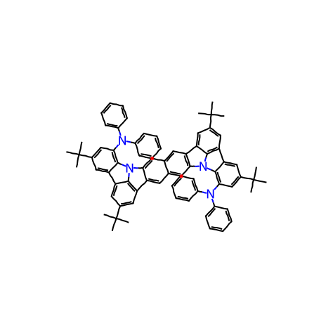 CC(C)(C)c1cc(N(c2ccccc2)c2ccccc2)c2c(c1)c1cc(C(C)(C)C)cc3c4cc5cc6c(cc5cc4n2c31)c1cc(C(C)(C)C)cc2c3cc(C(C)(C)C)cc(N(c4ccccc4)c4ccccc4)c3n6c12